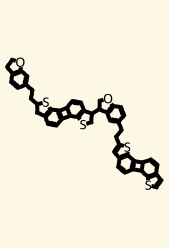 C1=CC2c3c(ccc4c3SC(CCc3ccc5c(c3)OCC5)C4)C2C2=C1C(C1COc3ccc(CCc4cc5ccc6c(c5s4)C4C=Cc5ccsc5C64)cc31)CS2